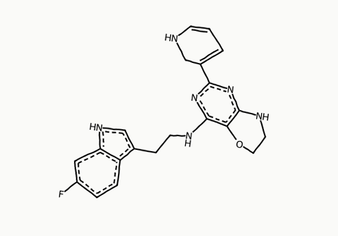 Fc1ccc2c(CCNc3nc(C4=CC=CNC4)nc4c3OCCN4)c[nH]c2c1